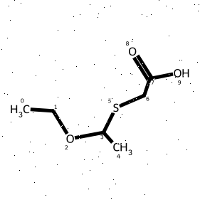 CCOC(C)SCC(=O)O